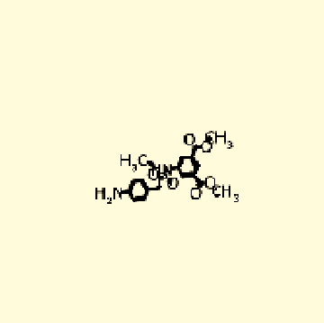 CCOP(=O)(Cc1ccc(N)cc1)Nc1cc(C(=O)OC)cc(C(=O)OC)c1